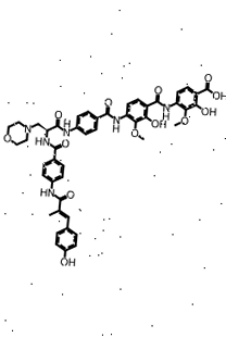 COc1c(NC(=O)c2ccc(NC(=O)c3ccc(NC(=O)[C@H](CN4CCOCC4)NC(=O)c4ccc(NC(=O)/C(C)=C/c5ccc(O)cc5)cc4)cc3)c(OC)c2O)ccc(C(=O)O)c1O